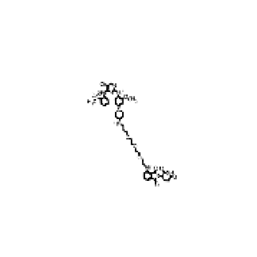 COc1cc(N2CCC(NCCCOCCOCCOCCNc3cccc4c3C(=O)N(C3CCC(=O)NC3=O)C4=O)CC2)ccc1Nc1ncc(Cl)c(Nc2ccccc2P(C)(C)=O)n1